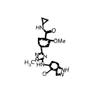 COc1cc(-c2nc(Nc3ccc4[nH]ncc4c3Cl)n(C)n2)ccc1C(=O)NC1CC1